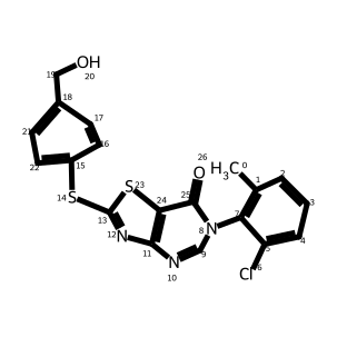 Cc1cccc(Cl)c1-n1cnc2nc(Sc3ccc(CO)cc3)sc2c1=O